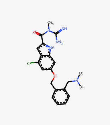 CCN(CC)Cc1ccccc1COc1cc(Cl)c2cc(C(=O)N(C)C(=N)N)[nH]c2c1